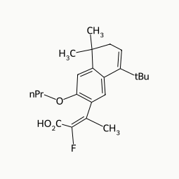 CCCOc1cc2c(cc1/C(C)=C(/F)C(=O)O)C(C(C)(C)C)=CCC2(C)C